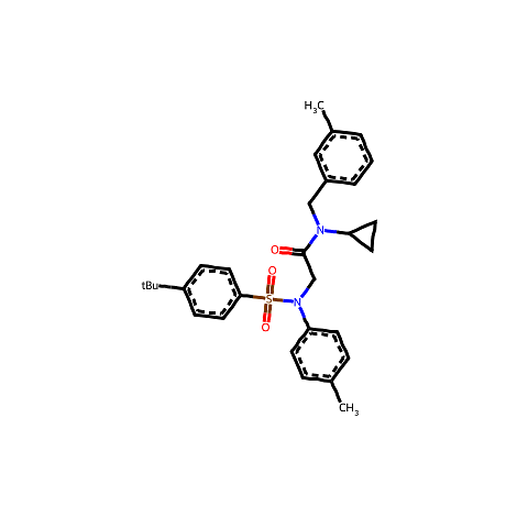 Cc1ccc(N(CC(=O)N(Cc2cccc(C)c2)C2CC2)S(=O)(=O)c2ccc(C(C)(C)C)cc2)cc1